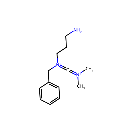 C[N+](C)=C=[N+](CCCN)Cc1ccccc1